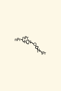 CCCC(CCC)CN1CCN(CCO[C@H]2C[C@H](N(C)CC(C)C)C2)CC1